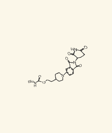 CC(C)(C)NC(=O)OCCC1CCN(c2ccc3c(c2)C(=O)N(C2CCC(=O)NC2=O)C3=O)CC1